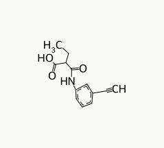 C#Cc1cccc(NC(=O)C(CC)C(=O)O)c1